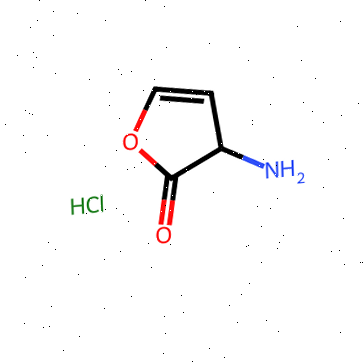 Cl.NC1C=COC1=O